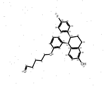 O=CCCCCOc1cccc([C@@H]2c3ccc(O)cc3CC[C@@H]2c2ccc(F)cc2)c1